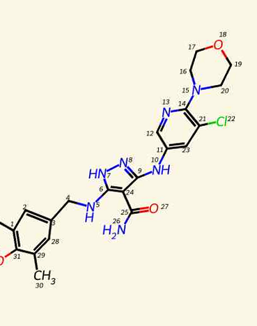 Cc1cc(CNc2[nH]nc(Nc3cnc(N4CCOCC4)c(Cl)c3)c2C(N)=O)cc(C)c1O